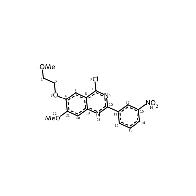 COCCOc1cc2c(Cl)nc(-c3cccc([N+](=O)[O-])c3)nc2cc1OC